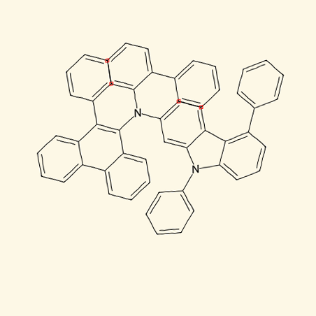 c1ccc(-c2ccccc2N(c2ccc3c4c(-c5ccccc5)cccc4n(-c4ccccc4)c3c2)c2c(-c3ccccc3)c3ccccc3c3ccccc23)cc1